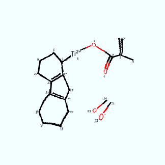 C=C(C)C(=O)[O][Ti+2][CH]1CCCC2=C1CC1=C2CCCC1.C[O-].C[O-]